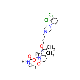 C=C/C(=C\C1=C(C)CCC(=O)N1C(OC(=O)N(C)CC)C(C)C)OCCCCN1CCN(c2cccc(Cl)c2Cl)CC1